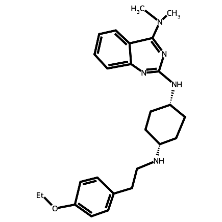 CCOc1ccc(CCN[C@H]2CC[C@@H](Nc3nc(N(C)C)c4ccccc4n3)CC2)cc1